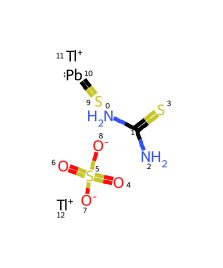 NC(N)=S.O=S(=O)([O-])[O-].[S]=[Pb].[Tl+].[Tl+]